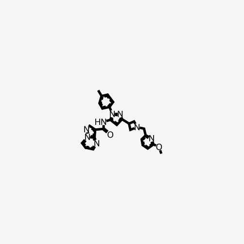 COc1cccc(CN2CC(c3cc(NC(=O)c4cnn5cccnc45)n(-c4ccc(C)cc4)n3)C2)n1